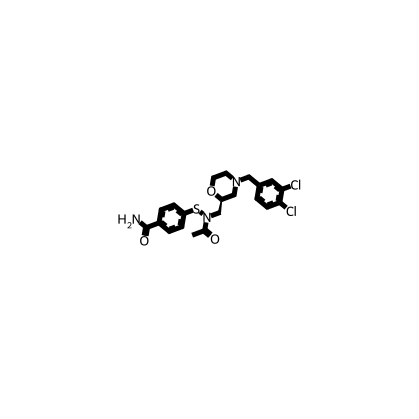 CC(=O)N(C[C@@H]1CN(Cc2ccc(Cl)c(Cl)c2)CCO1)Sc1ccc(C(N)=O)cc1